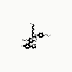 COc1cn(C(CCCCCCO)C(=O)Nc2ccc(C(=O)O)cc2)c(=O)cc1-c1cc(Cl)ccc1C1=NOCC1